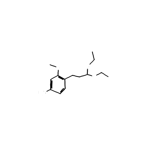 CCOC(CCc1ccc(N)cc1OC)OCC